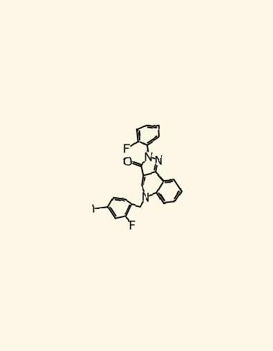 O=c1c2cn(Cc3ccc(I)cc3F)c3ccccc3c-2nn1-c1ccccc1F